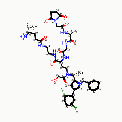 CC(C)[C@H](NC(=O)CN1C(=O)C=CC1=O)C(=O)NCC(=O)N[C@@H](CCN(C(=O)CO)[C@@H](c1cc(-c2cc(F)ccc2F)cn1Cc1ccccc1)C(C)(C)C)C(=O)NCCNC(=O)CC[C@H](N)C(=O)O